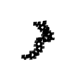 Cc1ccc(S(=O)(=O)N2CCn3cccc3C2CC(=O)NC2CCc3cc(CN4CCN(C)CC4)ccc3C2)cc1Cl